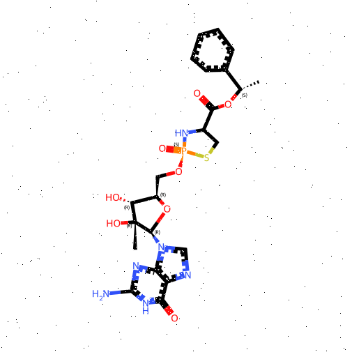 C[C@H](OC(=O)C1CS[P@@](=O)(OC[C@H]2O[C@@H](n3cnc4c(=O)[nH]c(N)nc43)[C@](C)(O)[C@@H]2O)N1)c1ccccc1